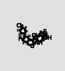 Cc1cc(F)c(-c2ccc(Cl)cc2)cc1C1=C(O)[C@]2(CC[C@](O)(C(F)(F)F)CC2)NC1=O